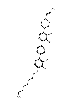 C/C=C/C1OCC(c2ccc(-c3ccc(-c4ccc(OCCCCCCCC)c(F)c4F)cc3)c(F)c2F)CO1